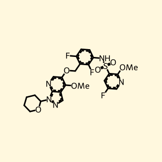 COc1ncc(F)cc1S(=O)(=O)Nc1ccc(F)c(COc2cnc3c(cnn3C3CCCCO3)c2OC)c1F